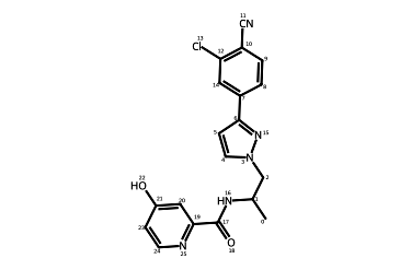 CC(Cn1ccc(-c2ccc(C#N)c(Cl)c2)n1)NC(=O)c1cc(O)ccn1